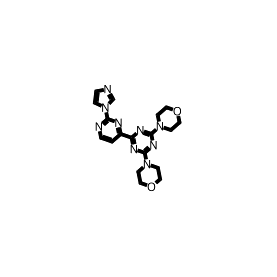 c1cn(-c2nccc(-c3nc(N4CCOCC4)nc(N4CCOCC4)n3)n2)cn1